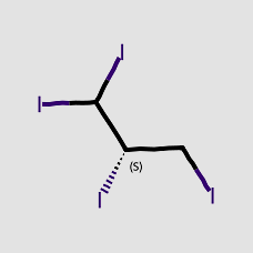 IC[C@H](I)C(I)I